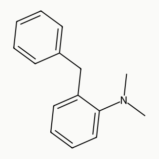 CN(C)c1ccccc1Cc1ccccc1